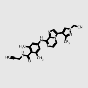 C#CCNC(=O)c1c(C)cc(Nc2nccn3c(-c4cn(CC#N)nc4C(F)(F)F)cnc23)cc1C